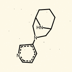 c1cncc(N2CC3CCCC(C2)N3)c1